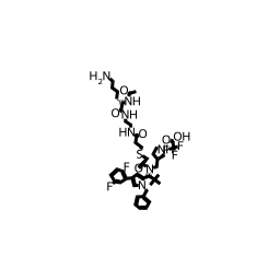 CC(=O)N[C@@H](CCCCN)C(=O)NCCNC(=O)CCSCC(=O)N(CC1CCNC1)[C@@H](c1cc(-c2cc(F)ccc2F)cn1Cc1ccccc1)C(C)(C)C.O=C(O)C(F)(F)F